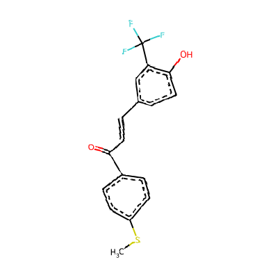 CSc1ccc(C(=O)/C=C/c2ccc(O)c(C(F)(F)F)c2)cc1